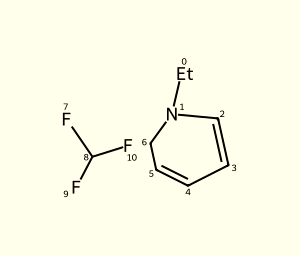 CCN1C=CC=CC1.FC(F)F